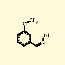 O/N=C\c1cccc(OC(F)(F)F)c1